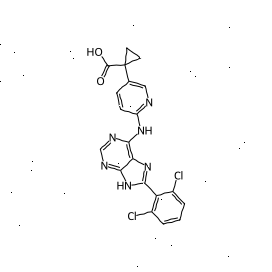 O=C(O)C1(c2ccc(Nc3ncnc4[nH]c(-c5c(Cl)cccc5Cl)nc34)nc2)CC1